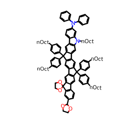 CCCCCCCCc1ccc(C2(c3ccc(CCCCCCCC)cc3)c3cc4c(cc3-c3cc5c(cc32)-c2cc3c(cc2C5(c2ccc(CCCCCCCC)cc2)c2ccc(CCCCCCCC)cc2)c2ccc(N(c5ccccc5)c5ccccc5)cc2n3CCCCCCCC)C2(OCCO2)c2cc(C3OCCO3)ccc2-4)cc1